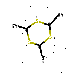 CC(C)C1SC(C(C)C)SC(C(C)C)S1